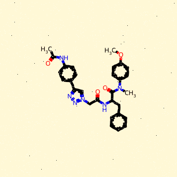 COc1ccc(N(C)C(=O)C(Cc2ccccc2)NC(=O)Cn2cc(-c3ccc(NC(C)=O)cc3)nn2)cc1